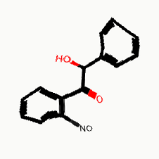 O=Nc1ccccc1C(=O)C(O)c1ccccc1